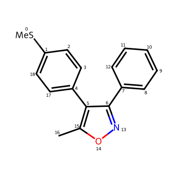 CSc1ccc(-c2c(-c3ccccc3)noc2C)cc1